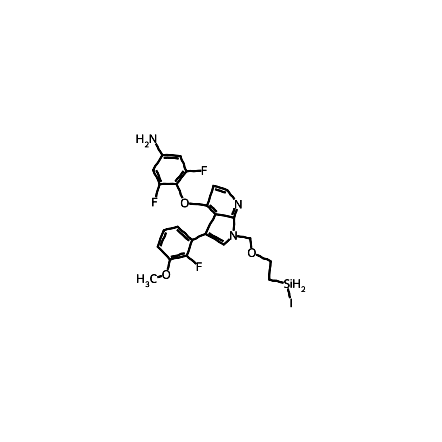 COc1cccc(-c2cn(COCC[SiH2]I)c3nccc(Oc4c(F)cc(N)cc4F)c23)c1F